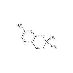 BC1(C)C=Cc2ccc(C)cc2O1